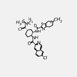 CN1CCc2nc(C(=O)N[C@@H]3C[C@@H](C(=O)N(C)C)CC[C@@H]3NC(=O)c3cc4ccc(Cl)cc4cn3)sc2C1